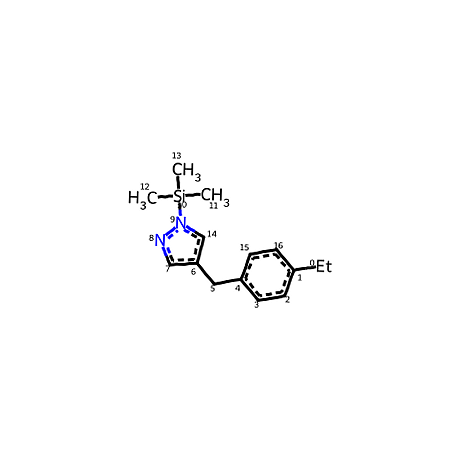 CCc1ccc(Cc2cnn([Si](C)(C)C)c2)cc1